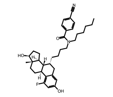 CCCCCCN(CCCC[C@@H]1Cc2cc(O)cc(F)c2[C@H]2CC[C@]3(C)[C@@H](O)CC[C@H]3[C@H]12)C(=O)c1ccc(C#N)cc1